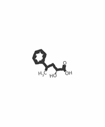 CC(C[C@@H](O)C(=O)O)c1ccccc1